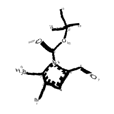 Bc1c(Br)cc(C=O)n1C(=O)OC(C)(C)C